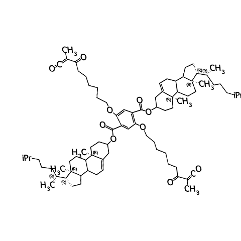 CC(=C=O)C(=O)CCCCCCOc1cc(C(=O)OC2CC[C@@]3(C)C(=CCC4C3CC[C@@]3(C)C4CC[C@@H]3[C@H](C)CCCC(C)C)C2)c(OCCCCCCC(=O)C(C)=C=O)cc1C(=O)OC1CC[C@@]2(C)C(=CCC3C2CC[C@@]2(C)C3CC[C@@H]2[C@H](C)CCCC(C)C)C1